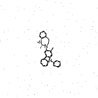 Cc1cc2c(cc1N1CCc3ccccc3N(C)[C@@H]1C)c1ccccc1n2-c1ccccc1